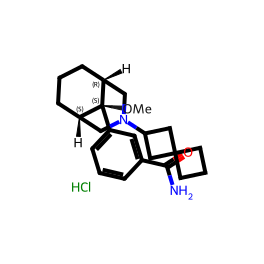 CO[C@]1(c2cccc(C(N)=O)c2)[C@@H]2CCC[C@H]1CN(C1CC3(CCC3)C1)C2.Cl